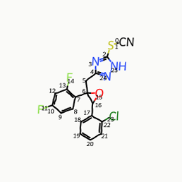 N#CSc1nc(CC2(c3ccc(F)cc3F)OC2c2ccccc2Cl)n[nH]1